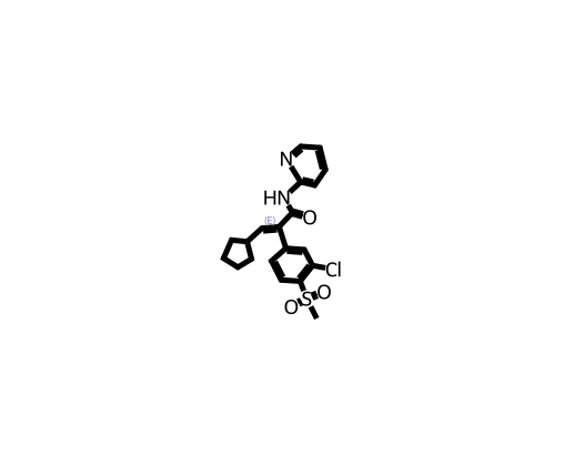 CS(=O)(=O)c1ccc(/C(=C\C2CCCC2)C(=O)Nc2ccccn2)cc1Cl